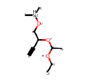 C#CC(CO[SiH](C)C)OC(C)OCC